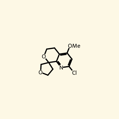 COc1cc(Cl)nc2c1CCOC21CCOC1